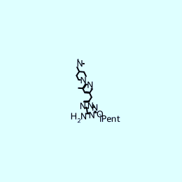 CCC[C@@H](C)Oc1nc(N)c2ncc(Cc3cnc(N4CCC(CN(C)C)CC4)c(C)c3)n2n1